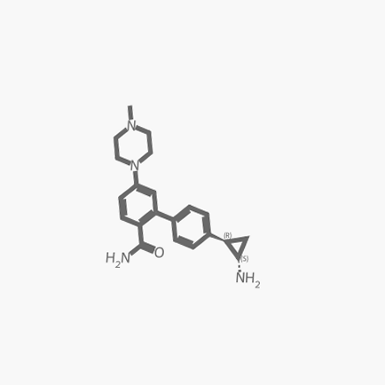 CN1CCN(c2ccc(C(N)=O)c(-c3ccc([C@H]4C[C@@H]4N)cc3)c2)CC1